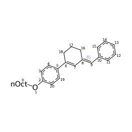 CCCCCCCCOc1ccc(C2=C/C(=C/c3ccccc3)CCC2)cc1